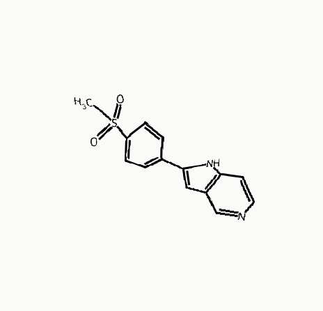 CS(=O)(=O)c1ccc(-c2cc3cnccc3[nH]2)cc1